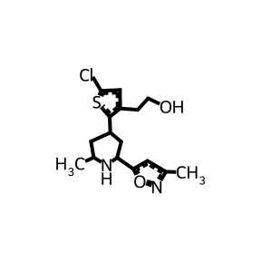 Cc1cc(C2CC(c3sc(Cl)cc3CCO)CC(C)N2)on1